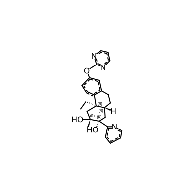 CC[C@@]12C[C@@](C)(O)[C@](O)(c3ccccn3)C[C@H]1CCc1cc(Oc3ncccn3)ccc12